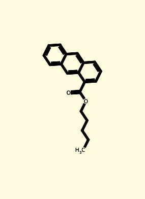 CCCCCOC(=O)c1cccc2cc3ccccc3cc12